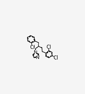 Clc1ccc(CCC(Cc2ccccc2Cl)Cn2ccnc2)c(Cl)c1